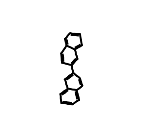 [c]1ccc2[c]c(-c3[c]c4cc[c]cc4cc3)ccc2c1